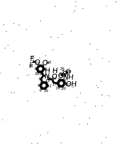 COc1cc(C(Cc2ccccc2)NCC(O)Cc2ccc(O)c(NS(C)(=O)=O)c2)ccc1OC(F)F